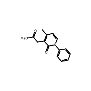 COC(=O)Cc1c(C)ccn(-c2ccccc2)c1=O